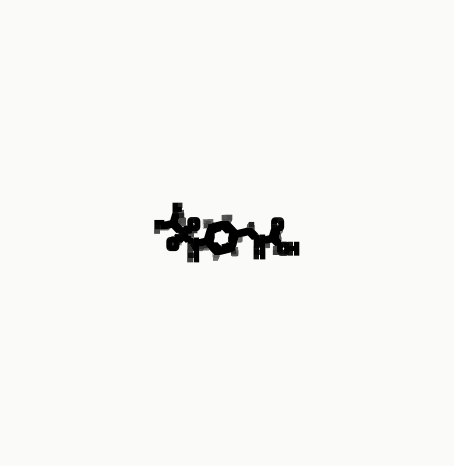 O=C(O)NCc1ccc(NS(=O)(=O)C(F)F)cc1